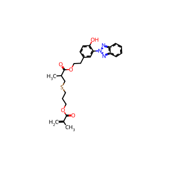 C=C(C)C(=O)OCCCSCC(C)C(=O)OCCc1ccc(O)c(-n2nc3ccccc3n2)c1